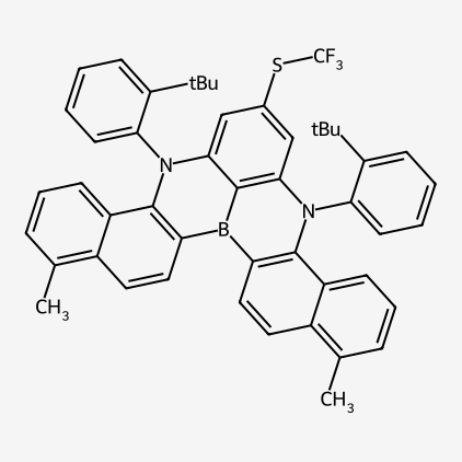 Cc1cccc2c3c(ccc12)B1c2ccc4c(C)cccc4c2N(c2ccccc2C(C)(C)C)c2cc(SC(F)(F)F)cc(c21)N3c1ccccc1C(C)(C)C